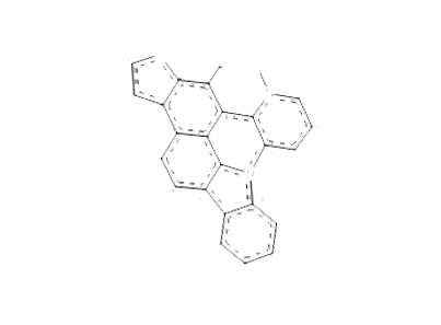 Cc1c2occc2c2ccc3c4ccccc4n4c5ccc[n+](C)c5c1c2c34